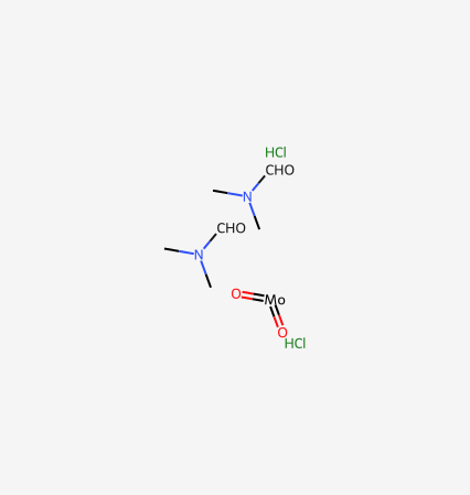 CN(C)C=O.CN(C)C=O.Cl.Cl.[O]=[Mo]=[O]